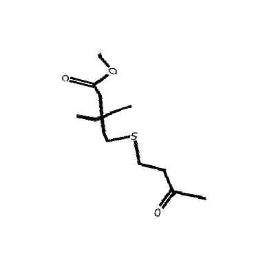 COC(=O)C(C)(C)CSCCC(C)=O